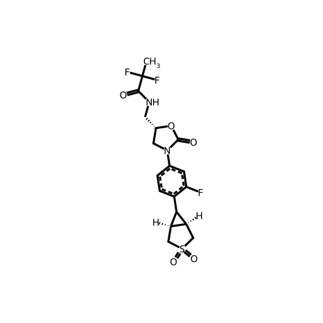 CC(F)(F)C(=O)NC[C@H]1CN(c2ccc(C3[C@H]4CS(=O)(=O)C[C@@H]34)c(F)c2)C(=O)O1